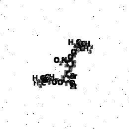 CCOc1cc(OCOCC[Si](C)(C)C)cc(C=Cc2ccc(OCOCC[Si](C)(C)C)c([N+](=O)[O-])c2)c1Br